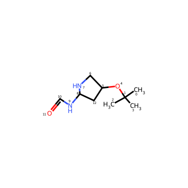 CC(C)(C)OC1CNC(NC=O)C1